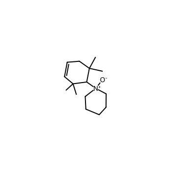 CC1(C)C=CCC(C)(C)C1[N+]1([O-])CCCCC1